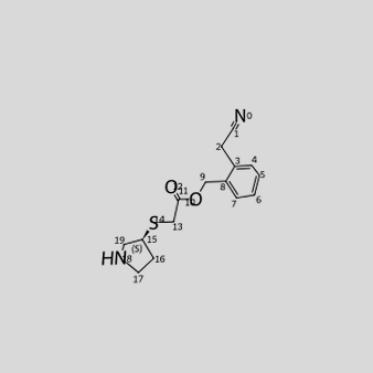 N#CCc1ccccc1COC(=O)CS[C@H]1CCNC1